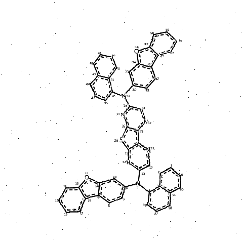 c1ccc2c(N(c3ccc4c(c3)oc3ccccc34)c3cnc4c(n3)sc3nc(N(c5ccc6c(c5)oc5ccccc56)c5cccc6ccccc56)cnc34)cccc2c1